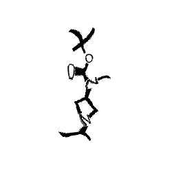 CC(C)N1CC(N(C)C(=O)OC(C)(C)C)C1